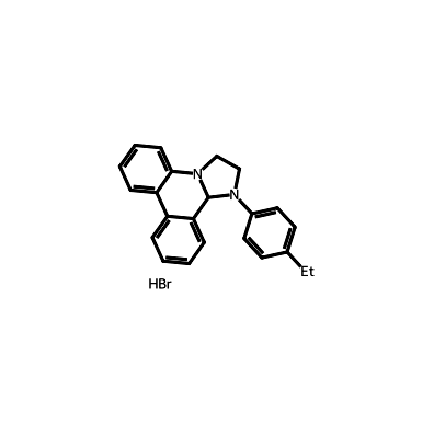 Br.CCc1ccc(N2CCN3c4ccccc4-c4ccccc4C23)cc1